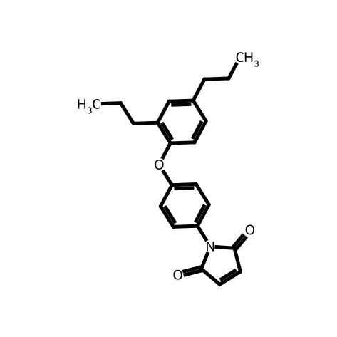 CCCc1ccc(Oc2ccc(N3C(=O)C=CC3=O)cc2)c(CCC)c1